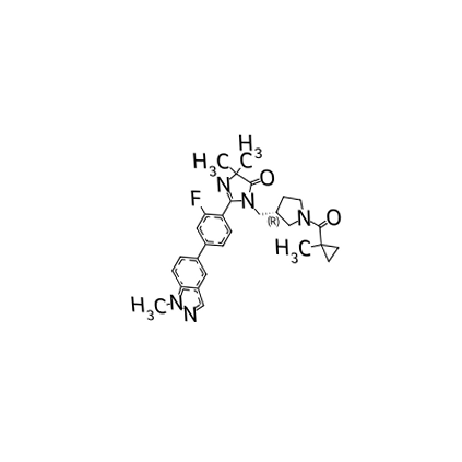 Cn1ncc2cc(-c3ccc(C4=NC(C)(C)C(=O)N4C[C@@H]4CCN(C(=O)C5(C)CC5)C4)c(F)c3)ccc21